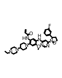 C=CC(=O)Nc1cc(Nc2cc(N3OCCC3c3cccc(F)c3)ncn2)c(OC)cc1N1CCC(N2CCN(CC)CC2)CC1